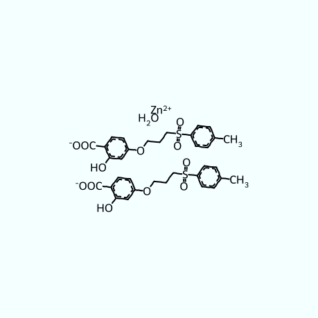 Cc1ccc(S(=O)(=O)CCCOc2ccc(C(=O)[O-])c(O)c2)cc1.Cc1ccc(S(=O)(=O)CCCOc2ccc(C(=O)[O-])c(O)c2)cc1.O.[Zn+2]